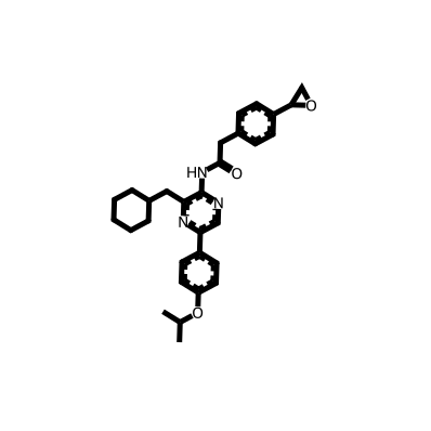 CC(C)Oc1ccc(-c2cnc(NC(=O)Cc3ccc(C4CO4)cc3)c(CC3CCCCC3)n2)cc1